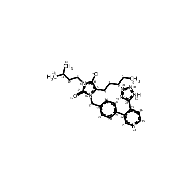 CCCCCc1c(Cl)n(CCC(C)C)c(=O)n1Cc1ccc(-c2cnccc2-c2nnn[nH]2)cc1